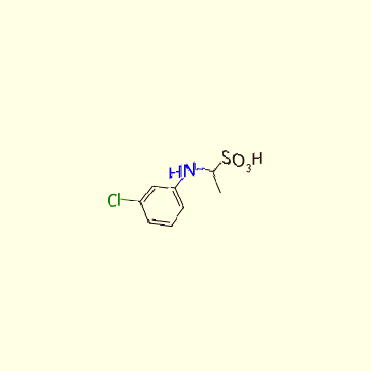 CC(Nc1cccc(Cl)c1)S(=O)(=O)O